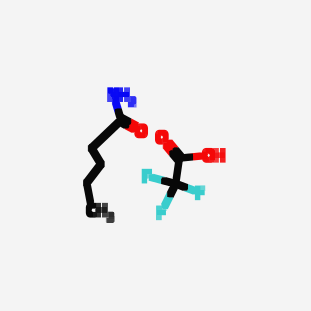 CCCCC(N)=O.O=C(O)C(F)(F)F